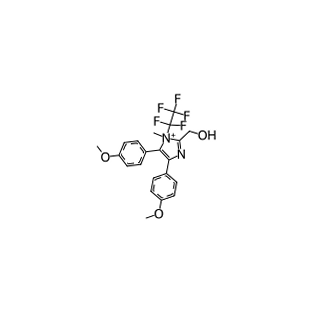 COc1ccc(C2=C(c3ccc(OC)cc3)[N+](C)(C(F)(F)C(F)(F)F)C(CO)=N2)cc1